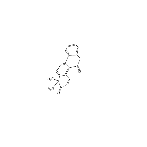 CC1(N)C(=O)C=Cc2c1ccc1c2C(=O)Cc2ccccc2-1